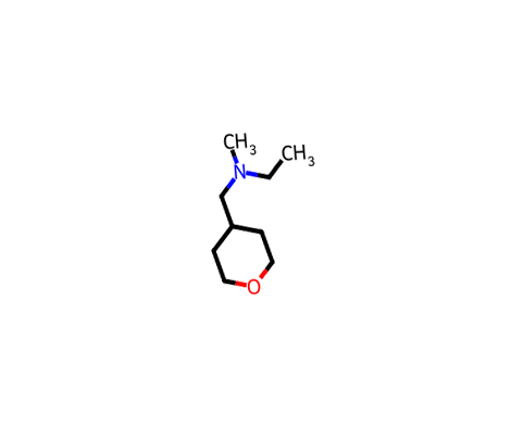 CCN(C)CC1CCOCC1